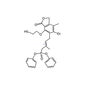 CCc1c(C)c2c(c(OCCS)c1C/C=C(\C)CP(=O)(Oc1ccccc1)Oc1ccccc1)C(=O)OC2